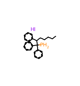 CCCCCC(c1ccccc1)C(P)(c1ccccc1)c1ccccc1.I